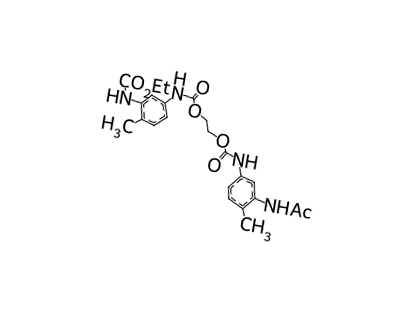 CCOC(=O)Nc1cc(NC(=O)OCCOC(=O)Nc2ccc(C)c(NC(C)=O)c2)ccc1C